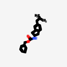 CC(C)Cc1ccc2c(c1)C[C@@H](NC(=O)OCc1ccccc1)C2